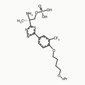 CCCOCCCCOc1ccc(-c2nnc([C@@](C)(N)COP(=O)(O)O)s2)cc1C(F)(F)F